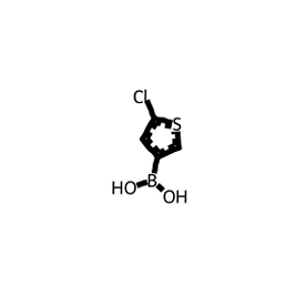 OB(O)c1csc(Cl)c1